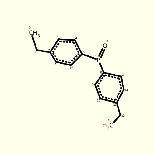 CCc1ccc([P](=O)c2ccc(CC)cc2)cc1